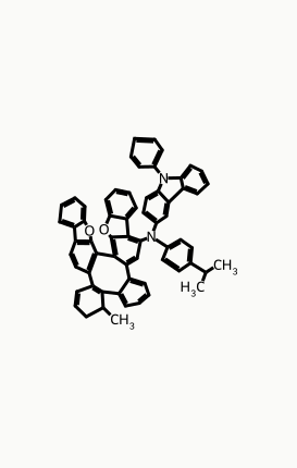 CC1CC=CC2=C1c1ccccc1-c1cc(N(c3ccc(C(C)C)cc3)c3ccc4c(c3)c3ccccc3n4-c3ccccc3)c3c(oc4ccccc43)c1-c1c2ccc2c1oc1ccccc12